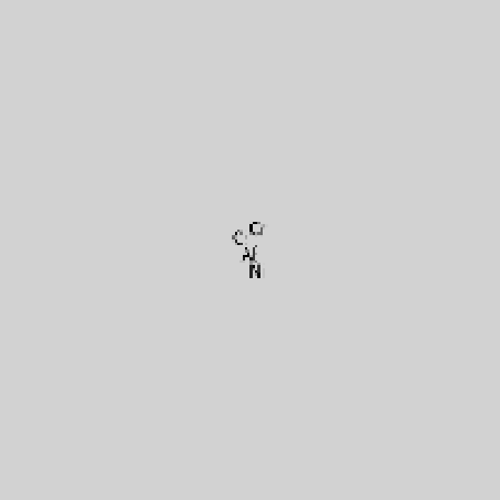 [Al].[C].[Cr].[Ni]